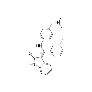 Cc1cccc(/C(Nc2ccc(CN(C)C)cc2)=C2/C(=O)Nc3ccccc32)c1